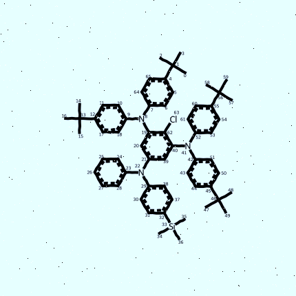 CC(C)(C)c1ccc(N(c2ccc(C(C)(C)C)cc2)c2cc(N(c3ccccc3)c3ccc([Si](C)(C)C)cc3)cc(N(c3ccc(C(C)(C)C)cc3)c3ccc(C(C)(C)C)cc3)c2Cl)cc1